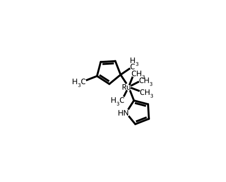 CC1=C[C](C)([Ru]([CH3])([CH3])([CH3])([CH3])[c]2ccc[nH]2)C=C1